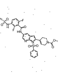 CCCS(=O)(=O)Nc1ccc(F)c(C(=O)Nc2cnc3c(c2)cc(C2=CCN(C(=O)OC(C)(C)C)CC2)n3S(=O)(=O)c2ccccc2)c1F